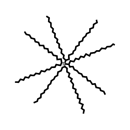 CCCCCCCCCCCCCCCCCC[CH](CCCCCCCCCCCCCCCCC)[Ti]([CH](CCCCCCCCCCCCCCCCC)CCCCCCCCCCCCCCCCCC)([CH](CCCCCCCCCCCCCCCCC)CCCCCCCCCCCCCCCCCC)[CH](CCCCCCCCCCCCCCCCC)CCCCCCCCCCCCCCCCCC